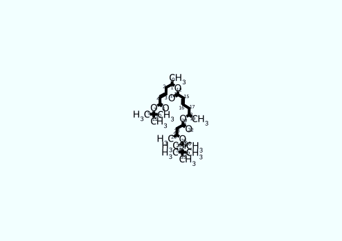 CC(CC=CC(=O)OC(C)(C)C)OC(=O)C=CCC(C)OC(=O)CC(C)O[Si](C)(C)C(C)(C)C